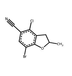 CC1Cc2c(Cl)c(C#N)cc(Br)c2O1